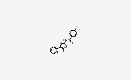 Cc1sc(NC(=O)c2ccc(C(F)(F)F)cc2)nc1-c1ccccn1